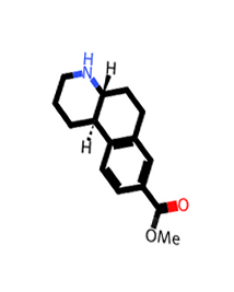 COC(=O)c1ccc2c(c1)CC[C@H]1NCCC[C@H]21